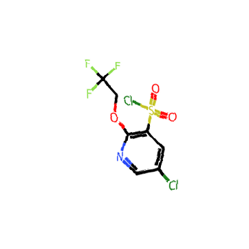 O=S(=O)(Cl)c1cc(Cl)cnc1OCC(F)(F)F